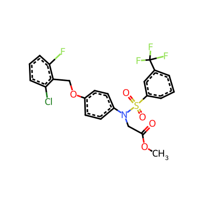 COC(=O)CN(c1ccc(OCc2c(F)cccc2Cl)cc1)S(=O)(=O)c1cccc(C(F)(F)F)c1